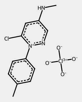 CNc1cn[n+](-c2ccc(C)cc2)c(Cl)c1.[O-][Cl+3]([O-])([O-])[O-]